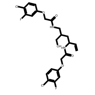 C=CC(CC(CO)CNC(=O)COc1ccc(Cl)c(F)c1)NC(=O)COc1ccc(Cl)c(F)c1